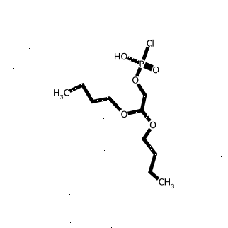 CCCCOC(COP(=O)(O)Cl)OCCCC